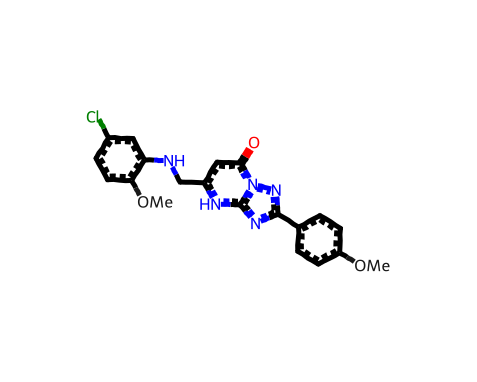 COc1ccc(-c2nc3[nH]c(CNc4cc(Cl)ccc4OC)cc(=O)n3n2)cc1